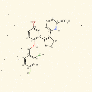 O=C(O)c1cccc(C2=C(c3cc(Br)ccc3OCc3ccc(F)cc3Cl)CCC2)n1